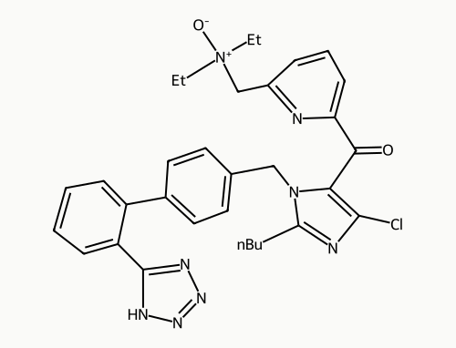 CCCCc1nc(Cl)c(C(=O)c2cccc(C[N+]([O-])(CC)CC)n2)n1Cc1ccc(-c2ccccc2-c2nnn[nH]2)cc1